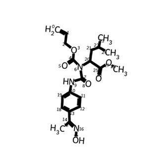 C=CCOC(=O)N(C(=O)Nc1ccc(C(C)=NO)cc1)C(CC(C)C)C(=O)OC